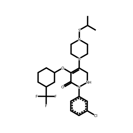 CC(C)SN1CCN(C2=C(OC3CCCC(C(F)(F)F)C3)C(=O)N(c3cccc(Cl)c3)NC2)CC1